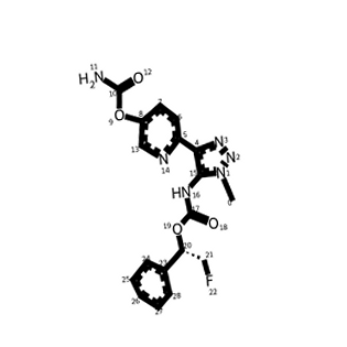 Cn1nnc(-c2ccc(OC(N)=O)cn2)c1NC(=O)O[C@H](CF)c1ccccc1